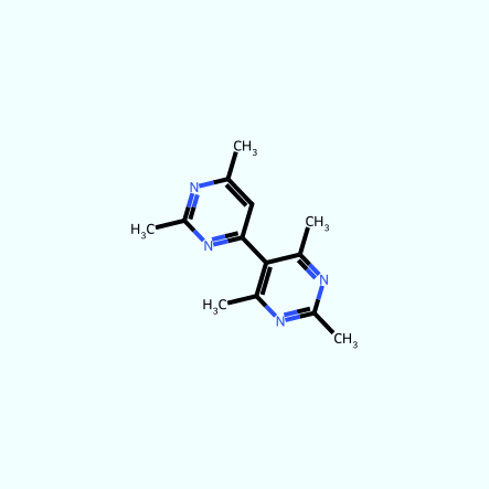 Cc1cc(-c2c(C)nc(C)nc2C)nc(C)n1